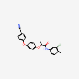 Cc1ccc(NC(=O)C(C)Oc2ccc(Oc3ccc(C#N)cc3)cc2)cc1Cl